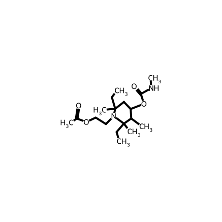 CCC1(C)CC(OC(=O)NC)C(C)C(C)(CC)N1CCOC(C)=O